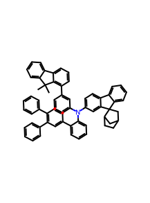 CC1(C)c2ccccc2-c2cccc(-c3cccc(N(c4ccc5c(c4)C4(CC6CCC4C6)c4ccccc4-5)c4ccccc4-c4ccc(-c5ccccc5)c(-c5ccccc5)c4)c3)c21